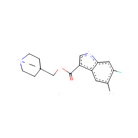 Cc1cc2c(C(=O)OCC34CCN(CC3)CC4)c[nH]c2cc1F.Cl